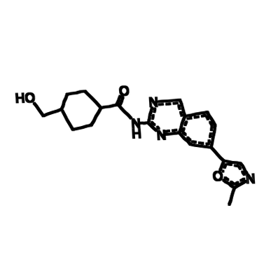 Cc1ncc(-c2ccc3cnc(NC(=O)C4CCC(CO)CC4)nc3c2)o1